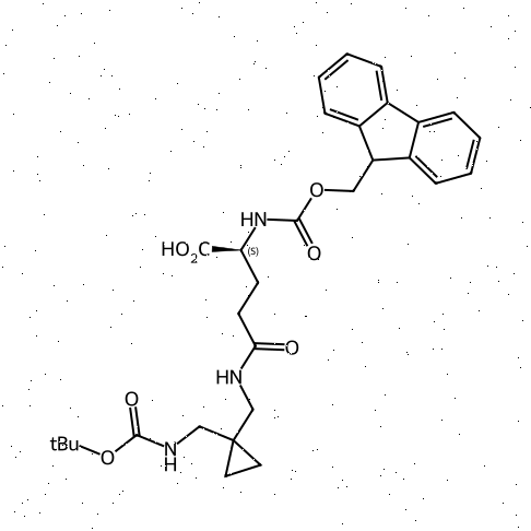 CC(C)(C)OC(=O)NCC1(CNC(=O)CC[C@H](NC(=O)OCC2c3ccccc3-c3ccccc32)C(=O)O)CC1